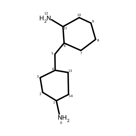 NC1CCC(CC2CCCCC2N)CC1